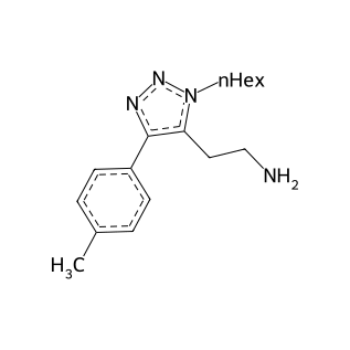 CCCCCCn1nnc(-c2ccc(C)cc2)c1CCN